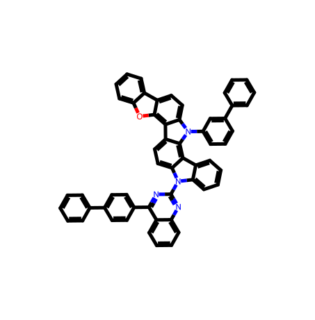 c1ccc(-c2ccc(-c3nc(-n4c5ccccc5c5c4ccc4c6c7oc8ccccc8c7ccc6n(-c6cccc(-c7ccccc7)c6)c45)nc4ccccc34)cc2)cc1